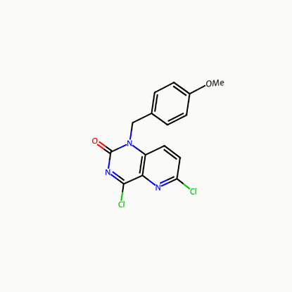 COc1ccc(Cn2c(=O)nc(Cl)c3nc(Cl)ccc32)cc1